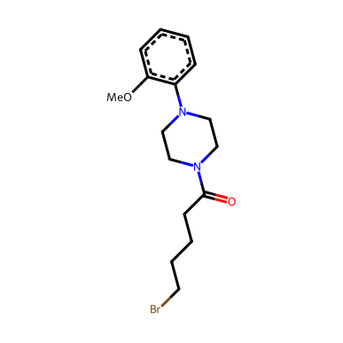 COc1ccccc1N1CCN(C(=O)CCCCBr)CC1